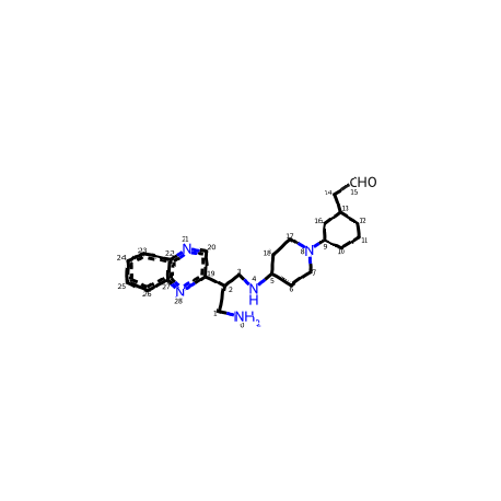 NCC(CNC1CCN(C2CCCC(CC=O)C2)CC1)c1cnc2ccccc2n1